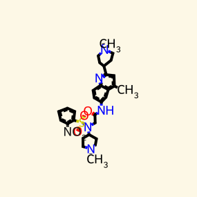 Cc1cc(C2CCN(C)CC2)nc2ccc(NC(=O)CN(C3CCN(C)CC3)S(=O)(=O)c3ccccc3[N+](=O)[O-])cc12